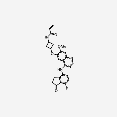 C=CC(=O)NC1CC(Oc2cc3c(Nc4ccc(F)c5c4CCC5=O)ncnc3cc2OC)C1